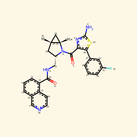 Nc1nc(C(=O)N2[C@H](CNC(=O)c3cccc4cnccc34)C[C@@H]3C[C@@H]32)c(-c2cccc(F)c2)s1